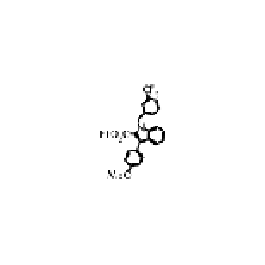 CCOC(=O)c1c(-c2ccc(OC)cc2)c2ccccc2n1Cc1cccc(C(F)(F)F)c1